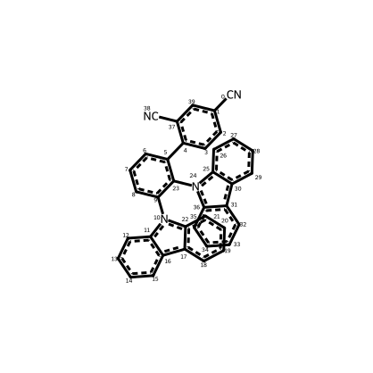 N#Cc1ccc(-c2cccc(-n3c4ccccc4c4ccccc43)c2-n2c3ccccc3c3ccccc32)c(C#N)c1